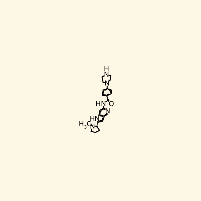 CN1CCC[C@@H]1c1cc2cnc(NC(=O)c3ccc(N4CCNCC4)cc3)cc2[nH]1